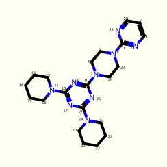 c1cnc(N2CCN(c3nc(N4CCCCC4)nc(N4CCCCC4)n3)CC2)nc1